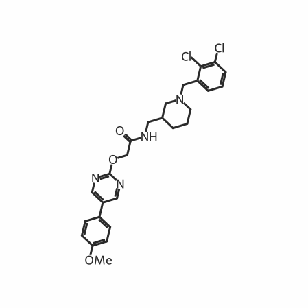 COc1ccc(-c2cnc(OCC(=O)NCC3CCCN(Cc4cccc(Cl)c4Cl)C3)nc2)cc1